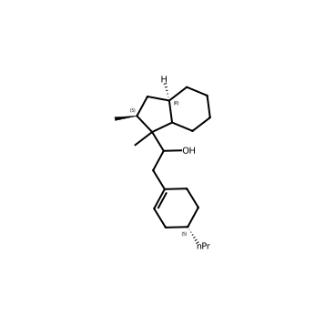 CCC[C@@H]1CC=C(CC(O)C2(C)C3CCCC[C@@H]3C[C@@H]2C)CC1